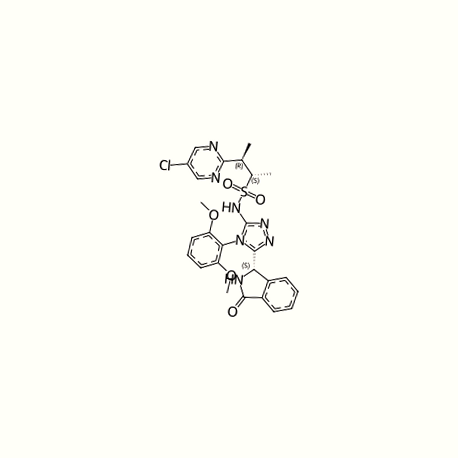 COc1cccc(OC)c1-n1c(NS(=O)(=O)[C@@H](C)[C@H](C)c2ncc(Cl)cn2)nnc1[C@H]1NC(=O)c2ccccc21